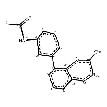 CC(=O)Nc1cccc(-c2cccc3cnc(Cl)nc23)c1